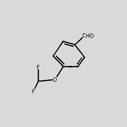 O=[C]c1ccc(OC(F)F)cc1